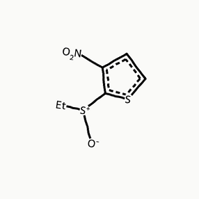 CC[S+]([O-])c1sccc1[N+](=O)[O-]